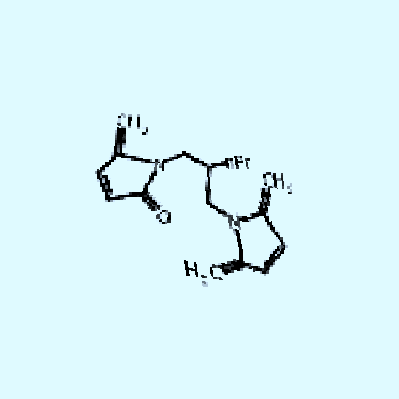 C=C1C=CC(=O)N1CC(CCC)Cn1c(=C)ccc1=C